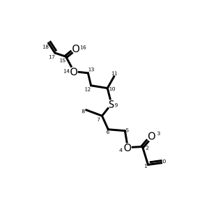 C=CC(=O)OCCC(C)SC(C)CCOC(=O)C=C